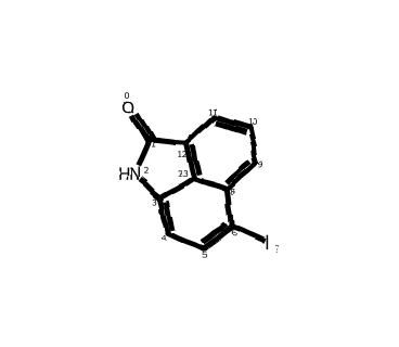 O=C1Nc2ccc(I)c3cccc1c23